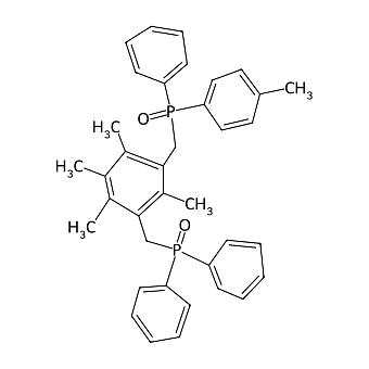 Cc1ccc(P(=O)(Cc2c(C)c(C)c(C)c(CP(=O)(c3ccccc3)c3ccccc3)c2C)c2ccccc2)cc1